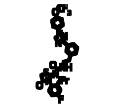 CC(C)c1cc(F)ccc1N1C(=O)CS/C1=N\C(=O)NCCc1cccc(-c2ncn(-c3ccc(OC(F)(F)F)cc3)n2)c1